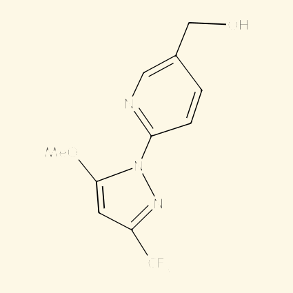 COc1cc(C(F)(F)F)nn1-c1ccc(CO)cn1